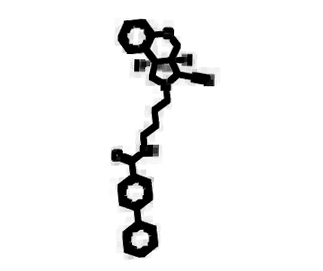 N#CC1[C@H]2COc3ccccc3[C@@H]2CN1CCCCNC(=O)c1ccc(-c2ccccc2)cc1